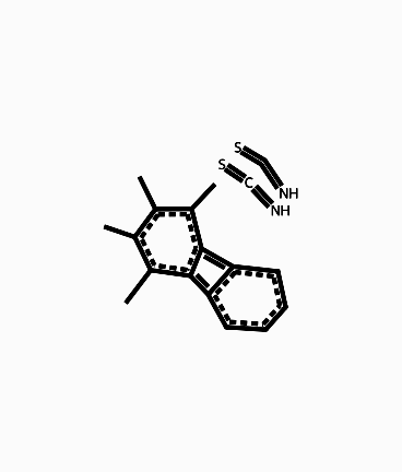 Cc1c(C)c(C)c2c(c1C)=c1ccccc1=2.N=C=S.N=C=S